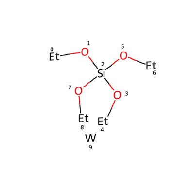 CCO[Si](OCC)(OCC)OCC.[W]